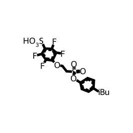 CCC(C)c1ccc(OS(=O)(=O)CCOc2c(F)c(F)c(S(=O)(=O)O)c(F)c2F)cc1